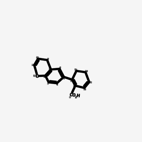 O=C(O)C1=C(c2ccc3c(c2)CC=CO3)CCC=C1